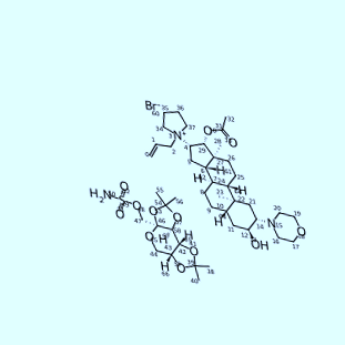 C=CC[N+]1([C@H]2C[C@H]3[C@@H]4CC[C@H]5C[C@H](O)[C@@H](N6CCOCC6)C[C@]5(C)[C@H]4CC[C@]3(C)[C@H]2OC(C)=O)CCCC1.CC1(C)O[C@@H]2[C@@H](CO[C@@]3(COS(N)(=O)=O)OC(C)(C)O[C@@H]23)O1.[Br-]